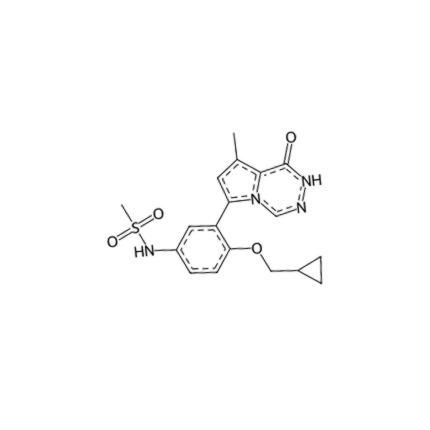 Cc1cc(-c2cc(NS(C)(=O)=O)ccc2OCC2CC2)n2cn[nH]c(=O)c12